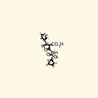 O=C(O)c1c(-c2ccsc2)noc1NS(=O)(=O)c1cccs1